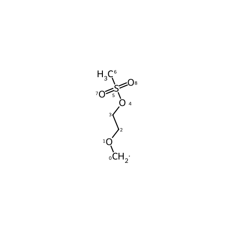 [CH2]OCCOS(C)(=O)=O